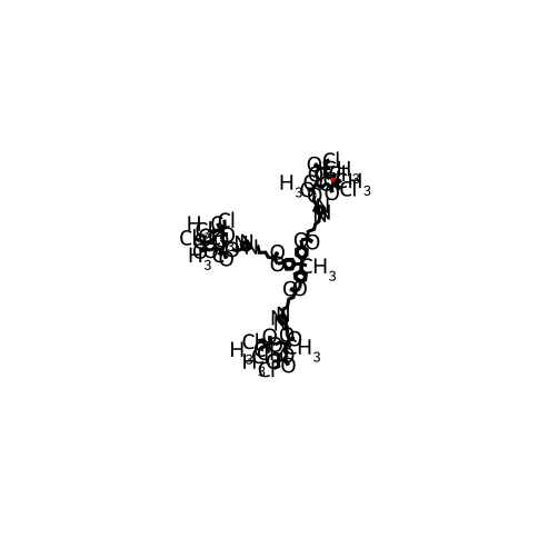 CC(CCl)(CCl)C(=O)OCC(C)(COC(=O)C(C)(CCl)CCl)C(=O)OCc1cn(CCCCC(=O)Oc2ccc(C(C)(c3ccc(OC(=O)CCCCn4cc(COC(=O)C(C)(COC(=O)C(C)(CCl)CCl)COC(=O)C(C)(CCl)CCl)nn4)cc3)c3ccc(OC(=O)CCCCn4cc(COC(=O)C(C)(COC(=O)C(C)(CCl)CCl)COC(=O)C(C)(CCl)CCl)nn4)cc3)cc2)nn1